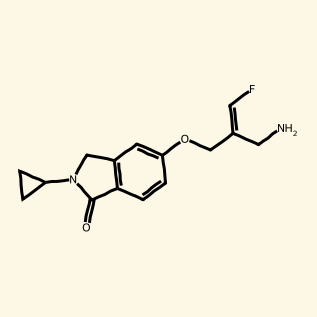 NCC(=CF)COc1ccc2c(c1)CN(C1CC1)C2=O